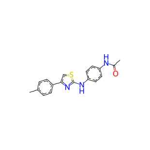 CC(=O)Nc1ccc(Nc2nc(-c3ccc(C)cc3)cs2)cc1